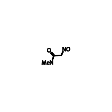 CNC(=O)CN=O